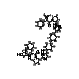 CN(C)[C@@H](C(=O)N1CCC[C@H]1c1ncc(-c2ccc(-c3ccc(-c4cnc([C@@H]5CCCN5C(=O)[C@H](NC(=O)O)c5ccccc5Cl)[nH]4)cc3)cc2)[nH]1)c1ccccc1